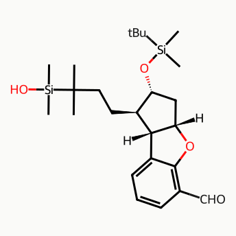 CC(C)(CC[C@@H]1[C@H]2c3cccc(C=O)c3O[C@H]2C[C@H]1O[Si](C)(C)C(C)(C)C)[Si](C)(C)O